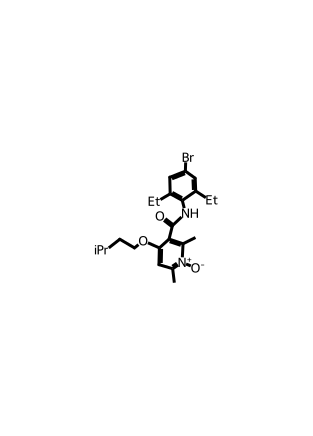 CCc1cc(Br)cc(CC)c1NC(=O)c1c(OCCC(C)C)cc(C)[n+]([O-])c1C